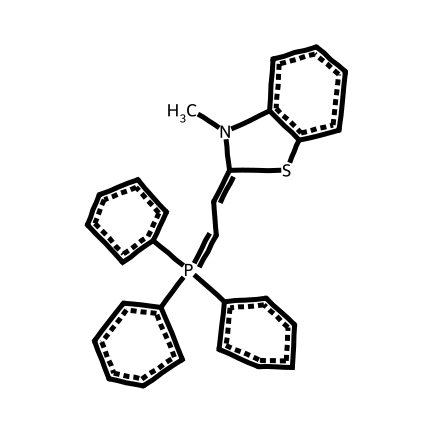 CN1/C(=C/C=P(c2ccccc2)(c2ccccc2)c2ccccc2)Sc2ccccc21